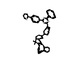 CC1(C)c2ccc(-c3cccc(-c4nc(-c5ccccc5)nc(-c5ccc(-c6ccccn6)cc5)n4)c3)cc2-c2c1ccc1ccccc21